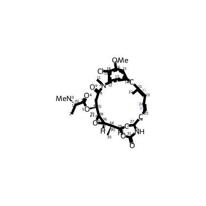 CN[C@@H](C)C(=O)O[C@H]1CC(=O)N(C)c2cc(cc(OC)c2Cl)C/C(C)=C/C=C/CC2C[C@H](OC(=O)N2)[C@@H](C)[C@@H]2O[C@@]12C